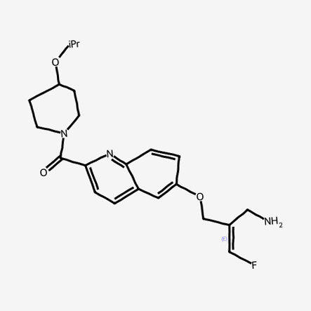 CC(C)OC1CCN(C(=O)c2ccc3cc(OC/C(=C/F)CN)ccc3n2)CC1